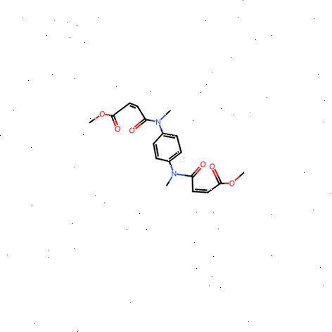 COC(=O)/C=C\C(=O)N(C)c1ccc(N(C)C(=O)/C=C\C(=O)OC)cc1